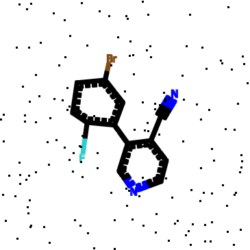 N#Cc1ccncc1-c1cc(Br)ccc1F